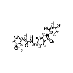 Cc1ccnc(NC(=O)NCc2ccc3c(c2)CN(C2CCC(=O)NC2=O)C3=O)c1